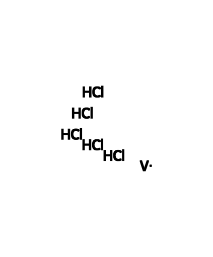 Cl.Cl.Cl.Cl.Cl.[V]